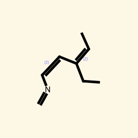 C=N/C=C\C(=C/C)CC